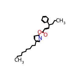 CCCCCCCCCc1ccc(OC(=O)/C=C/C(CCC)c2ccccc2)nc1